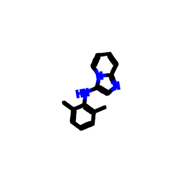 Cc1cccc(C)c1Nc1cnc2ccccn12